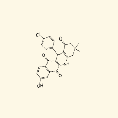 CC1(C)CC(=O)C2=C(C1)NC1=C(C(=O)c3ccc(O)cc3C1=O)C2c1ccc(Cl)cc1